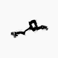 C/C=C/c1cn(C)cn1